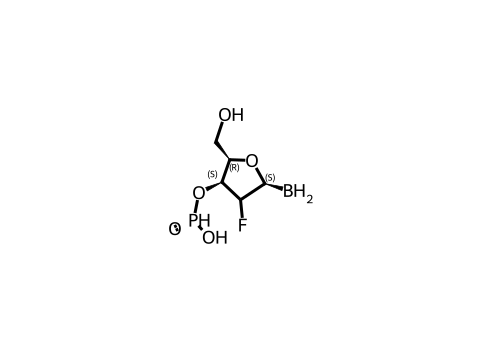 B[C@@H]1O[C@H](CO)[C@H](O[PH](=O)O)C1F